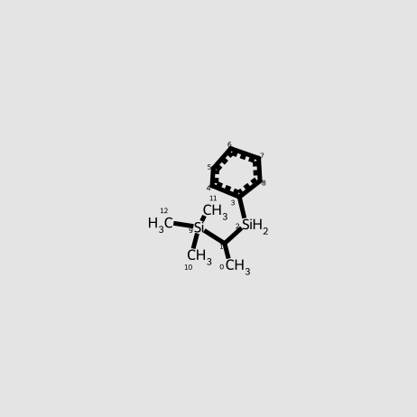 CC([SiH2]c1ccccc1)[Si](C)(C)C